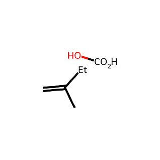 C=C(C)CC.O=C(O)O